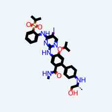 CNC(=O)c1cc(Nc2ncc(I)c(Nc3ccccc3S(=O)(=O)C(C)C)n2)c(OC(C)C)cc1C1=CCC(N[C@H](C)CO)CC1